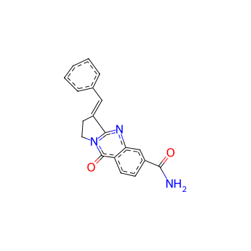 NC(=O)c1ccc2c(=O)n3c(nc2c1)C(=Cc1ccccc1)CC3